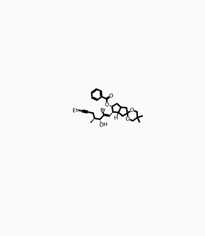 CCC#CC[C@H](C)[C@@H](O)/C(Br)=C/[C@H]1[C@H](OC(=O)c2ccccc2)CC2CC3(C[C@@H]21)OCC(C)(C)CO3